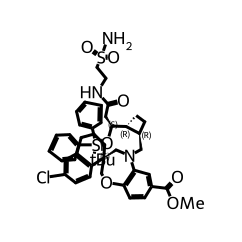 COC(=O)c1ccc2c(c1)N(C[C@@H]1CC[C@H]1[C@H](CC(=O)NCCS(N)(=O)=O)O[Si](c1ccccc1)(c1ccccc1)C(C)(C)C)C[C@@]1(CCCc3cc(Cl)ccc31)CO2